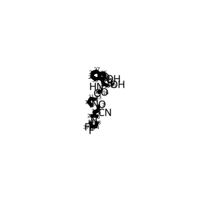 CC(C)(C=C(C#N)C(=O)N1CCC[C@@H]1COC(=O)NC(CB(O)O)c1occ2ccccc12)N1CCC(F)(F)C1